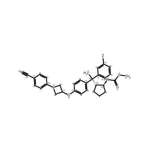 COC(=O)N[C@H]1CCC[C@@H]1C(C)(c1ccc(OC2CN(c3ccc(C#N)cc3)C2)cc1)c1cccc(F)c1